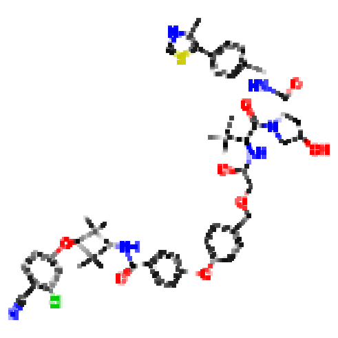 Cc1ncsc1-c1ccc(CNC(=O)[C@@H]2C[C@@H](O)CN2C(=O)[C@@H](NC(=O)COCc2ccc(Oc3ccc(C(=O)N[C@H]4C(C)(C)[C@H](Oc5ccc(C#N)c(Cl)c5)C4(C)C)cc3)cc2)C(C)(C)C)cc1